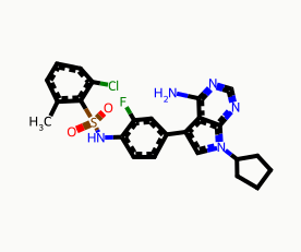 Cc1cccc(Cl)c1S(=O)(=O)Nc1ccc(-c2cn(C3CCCC3)c3ncnc(N)c23)cc1F